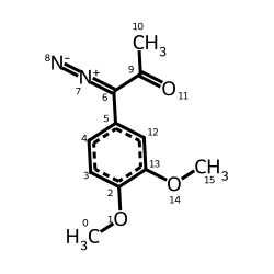 COc1ccc(C(=[N+]=[N-])C(C)=O)cc1OC